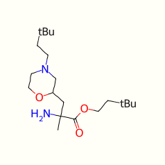 CC(C)(C)CCOC(=O)C(C)(N)CC1CN(CCC(C)(C)C)CCO1